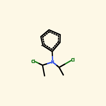 CC(Cl)N(c1[c]cccc1)C(C)Cl